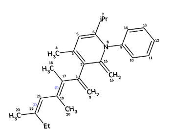 C=C(C1=C(C)C=C(C(C)C)N(c2ccccc2)C1=C)/C(C)=C(C)/C=C(/C)CC